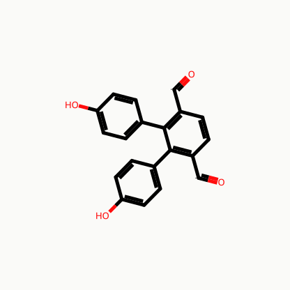 O=[C]c1ccc([C]=O)c(-c2ccc(O)cc2)c1-c1ccc(O)cc1